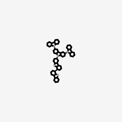 c1ccc2c(c1)oc1c(-c3cccc4c3sc3ccc(-n5c6ccc(-n7c8ccccc8c8ccccc87)cc6c6cc(-n7c8ccccc8c8ccccc87)ccc65)cc34)cccc12